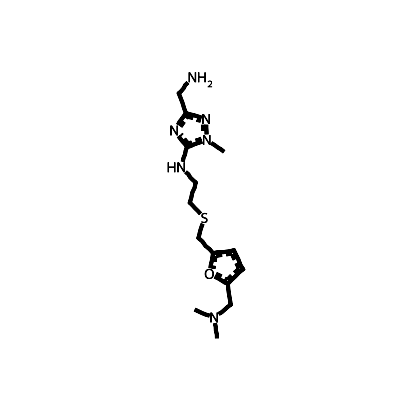 CN(C)Cc1ccc(CSCCNc2nc(CN)nn2C)o1